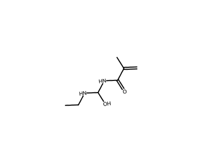 C=C(C)C(=O)NC(O)NCC